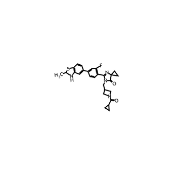 CC1Nc2cc(-c3ccc(C4=NC5(CC5)C(=O)N4CC4CN(C(=O)C5CC5)C4)c(F)c3)ccc2S1